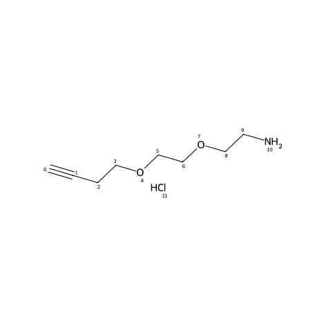 C#CCCOCCOCCN.Cl